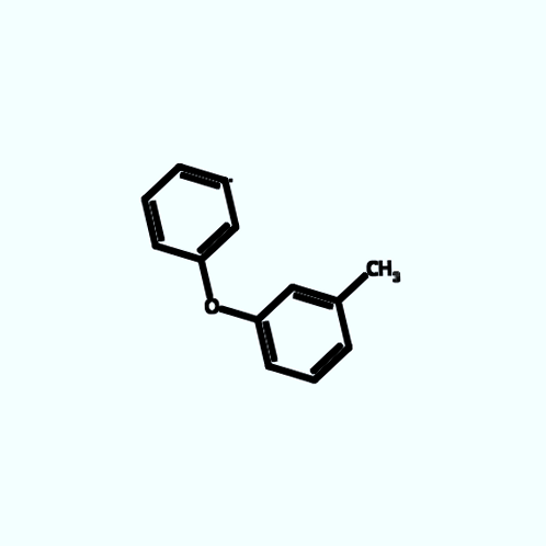 Cc1cccc(Oc2c[c]ccc2)c1